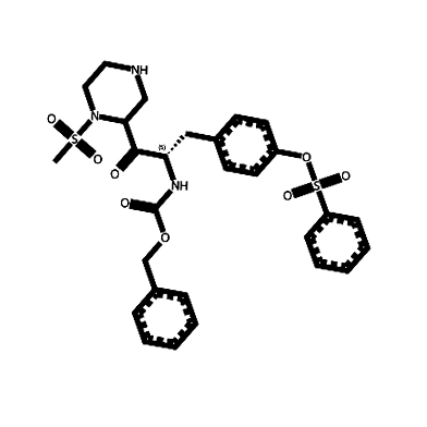 CS(=O)(=O)N1CCNCC1C(=O)[C@H](Cc1ccc(OS(=O)(=O)c2ccccc2)cc1)NC(=O)OCc1ccccc1